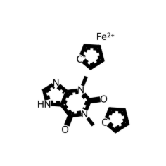 Cn1c(=O)c2[nH]cnc2n(C)c1=O.[Fe+2].c1cc[cH-]c1.c1cc[cH-]c1